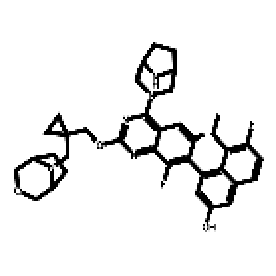 CCc1c(F)ccc2cc(O)cc(-c3c(C)cc4c(N5CC6CCC(C5)N6)nc(OCC5(CN6C7CCC6COC7)CC5)nc4c3F)c12